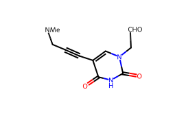 CNCC#Cc1cn(CC=O)c(=O)[nH]c1=O